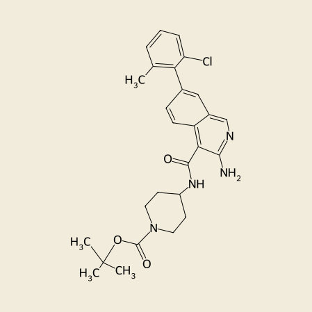 Cc1cccc(Cl)c1-c1ccc2c(C(=O)NC3CCN(C(=O)OC(C)(C)C)CC3)c(N)ncc2c1